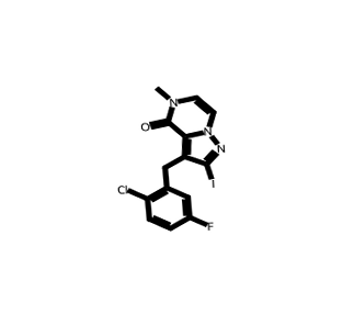 Cn1ccn2nc(I)c(Cc3cc(F)ccc3Cl)c2c1=O